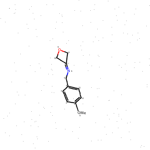 COc1ccc(CN=C2COC2)cc1